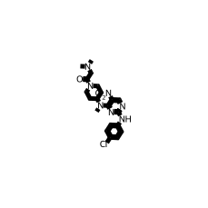 CN(C)CC(=O)N1CCC(N(C)c2nc(Nc3ccc(Cl)cc3)ncc2[N+](=O)[O-])CC1